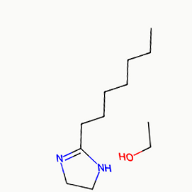 CCCCCCCC1=NCCN1.CCO